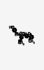 CCc1cccc(CC)c1-c1ccc(C(=O)N2CC(=NOC)C[C@H]2C(=O)NCCc2ccc(O)cc2)cc1